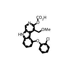 COCc1c(OC(=O)O)ncc2[nH]c3cccc(Oc4ccccc4Cl)c3c12